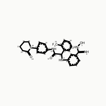 N=C(NO)c1cccc(NC(C(=O)Nc2ccc(N3CCCCC3=O)cc2)c2ccccc2C(F)(F)F)c1